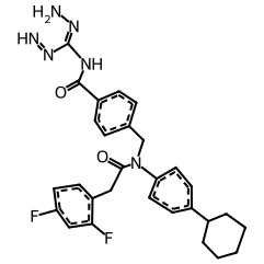 N=N/C(=N\N)NC(=O)c1ccc(CN(C(=O)Cc2ccc(F)cc2F)c2ccc(C3CCCCC3)cc2)cc1